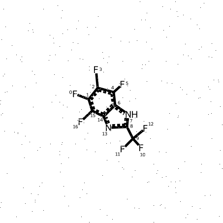 Fc1c(F)c(F)c2[nH]c(C(F)(F)F)nc2c1F